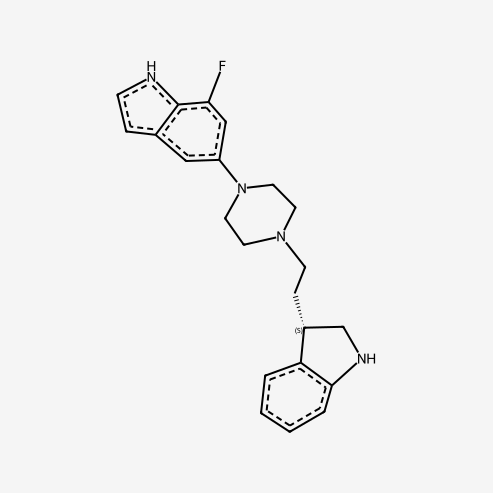 Fc1cc(N2CCN(CC[C@@H]3CNc4ccccc43)CC2)cc2cc[nH]c12